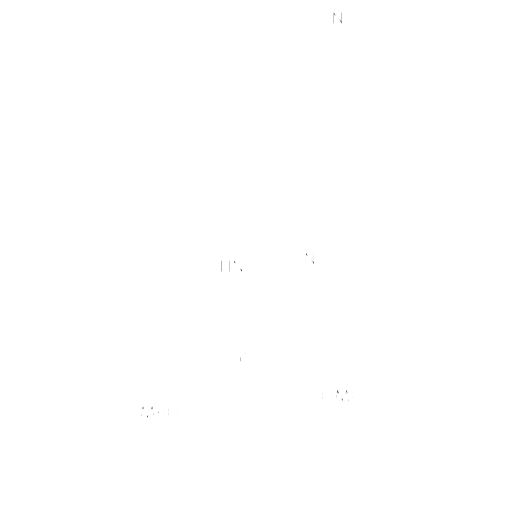 COc1cccc(OC)c1OCc1nc2cc(-c3ccncc3)ccc2[nH]1